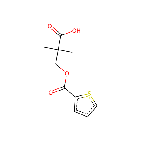 CC(C)(COC(=O)c1cccs1)C(=O)O